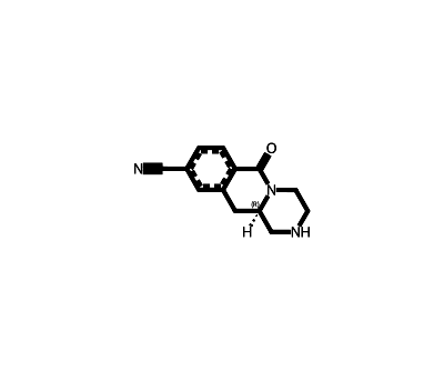 N#Cc1ccc2c(c1)C[C@@H]1CNCCN1C2=O